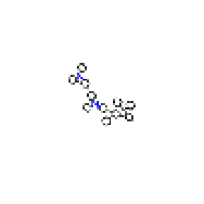 c1ccc(-n2c3ccccc3c3cc(-c4ccc5c(c4)c4ccccc4n5-c4ccc5c(c4)c4ccccc4c4cc6c(cc54)C4(c5ccccc5-c5ccccc54)c4ccccc4-6)ccc32)cc1